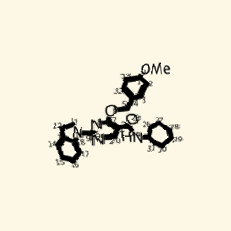 COc1ccc(COc2nc(N3CCc4ccccc43)ncc2C(=O)NC2CCCCCC2)cc1